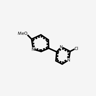 COc1ccc(-c2ccnc(Cl)n2)cn1